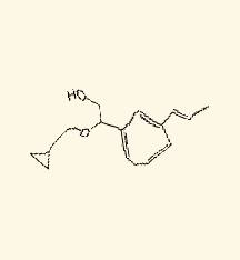 C/C=C/c1cccc(C(CO)OCC2CC2)c1